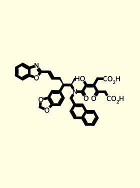 C[C@H]([C@H](C/C=C/c1nc2ccccc2o1)c1ccc2c(c1)OCO2)N(Cc1ccc2ccccc2c1)C(=O)C(O)=C(CC(=O)O)C(=O)CC(=O)O